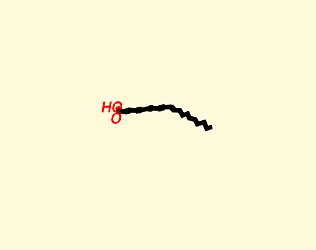 CCCCCCCCCC=CC#CC#CC#CC#CC(=O)O